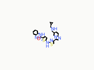 Nc1ccccc1NC(=O)c1ccc(Nc2nc(-c3cnc4ccc(CNCC5CC5)cn34)cs2)s1